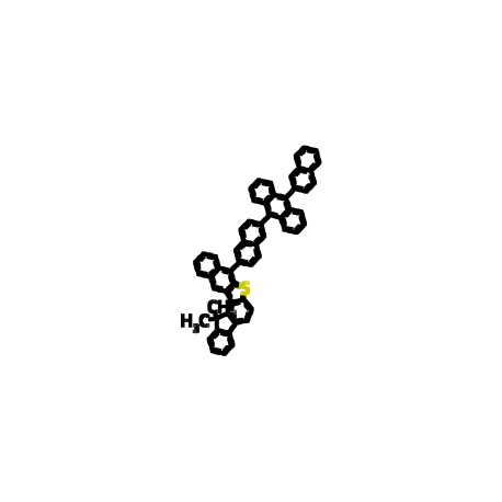 CC1(C)c2ccccc2-c2ccc3sc4c(-c5ccc6cc(-c7c8ccccc8c(-c8ccc9ccccc9c8)c8ccccc78)ccc6c5)c5ccccc5cc4c3c21